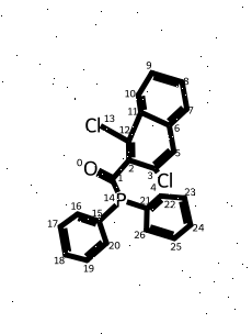 O=C(c1c(Cl)cc2ccccc2c1Cl)P(c1ccccc1)c1ccccc1